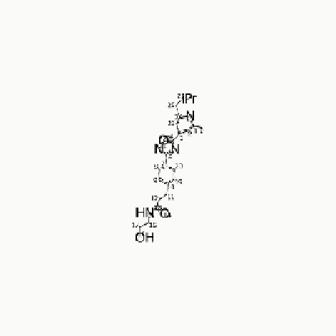 Cc1cc(-c2nc(-c3ccc(CCC(=O)NCCO)cc3)no2)cc(CC(C)C)n1